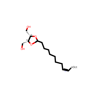 CCCCCCCC/C=C\CCCCCCCC1O[C@@H](CO)[C@@H](CO)O1